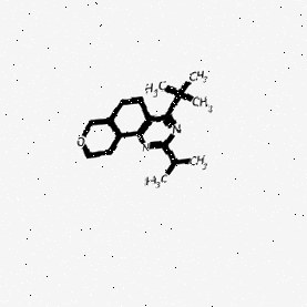 CC(C)c1nc2c(c(C(C)(C)C)n1)CCC1COCCC21